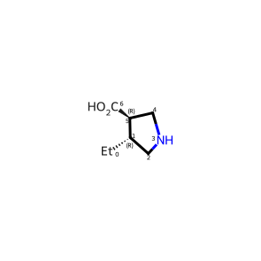 CC[C@H]1CNC[C@@H]1C(=O)O